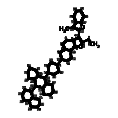 C=Cc1oc2c(ccc3cc(-c4ccc(-c5c6ccccc6c(-c6cccc7ccccc67)c6ccccc56)cc4)ccc32)c1-c1oc2ccccc2c1C